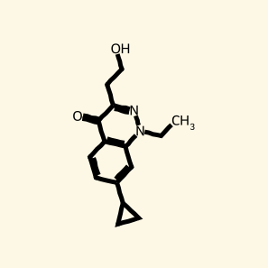 CCn1nc(CCO)c(=O)c2ccc(C3CC3)cc21